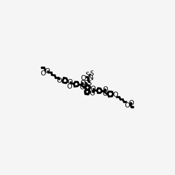 C=CC(=O)OCCCCCCOC1CCC(OC(=O)C2CCC(C(=O)Oc3c4c(c(OC(=O)C5CCC(C(=O)OC6CCC(OCCCCCCOC(=O)C=C)CC6)CC5)c5ccccc35)SC(=C3C(=O)SC(=S)N3C)S4)CC2)CC1